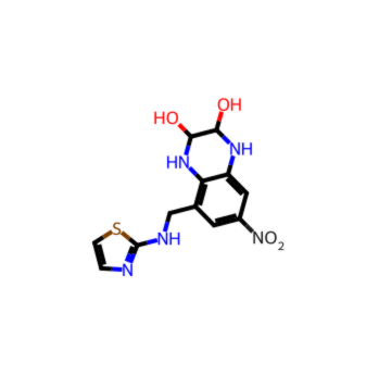 O=[N+]([O-])c1cc(CNc2nccs2)c2c(c1)NC(O)C(O)N2